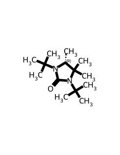 C[C@H]1N(C(C)(C)C)C(=O)N(C(C)(C)C)C1(C)C